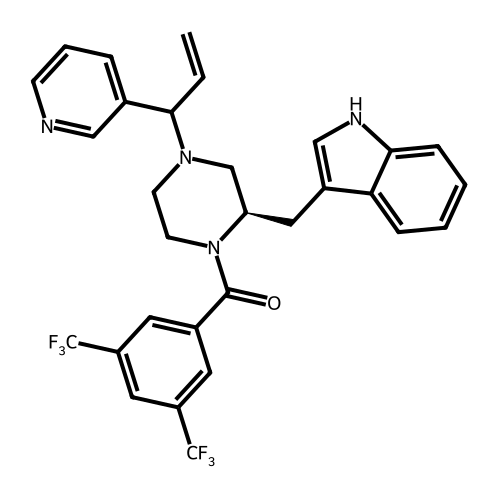 C=CC(c1cccnc1)N1CCN(C(=O)c2cc(C(F)(F)F)cc(C(F)(F)F)c2)[C@H](Cc2c[nH]c3ccccc23)C1